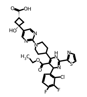 CCOC(=O)C1=C(C2CCN(c3ncc([C@]4(O)C[C@@H](C(=O)O)C4)cn3)CC2)NC(c2nccs2)=NC1c1ccc(F)c(F)c1Cl